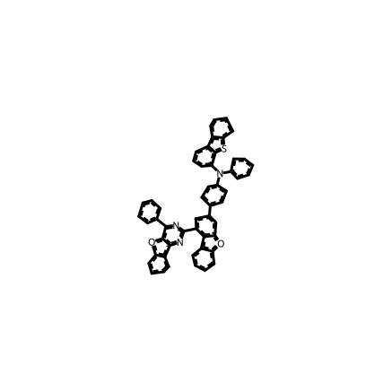 c1ccc(-c2nc(-c3cc(-c4ccc(N(c5ccccc5)c5cccc6c5sc5ccccc56)cc4)cc4oc5ccccc5c34)nc3c2oc2ccccc23)cc1